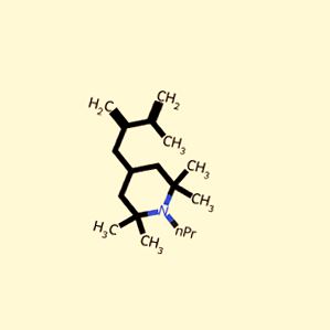 C=C(C)C(=C)CC1CC(C)(C)N(CCC)C(C)(C)C1